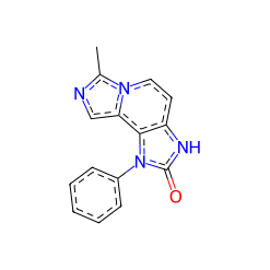 Cc1ncc2c3c(ccn12)[nH]c(=O)n3-c1ccccc1